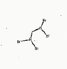 BrB(Br)CB(Br)Br